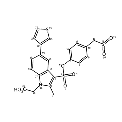 Cc1c(S(=O)(=O)Oc2ccc(C[SH](=O)=O)cc2)c2cc(-c3ccsc3)ccc2n1CC(=O)O